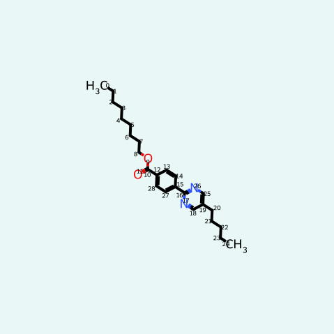 CCCCCCCCCOC(=O)c1ccc(-c2ncc(CCCCC)cn2)cc1